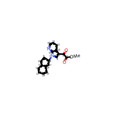 COC(=O)C(=O)c1cn(-c2ccc3ccccc3c2)c2ncccc12